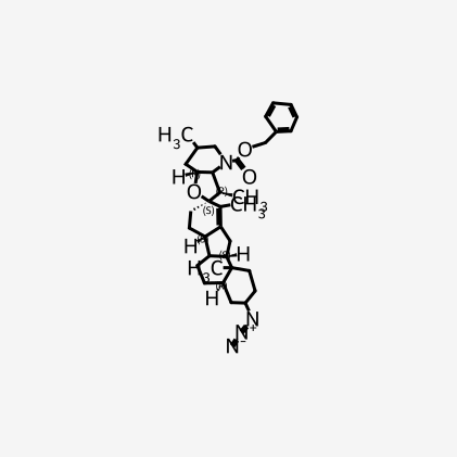 CC1=C2C[C@H]3C(CC[C@@H]4CC(N=[N+]=[N-])CCC43C)[C@@H]2CC[C@@]12O[C@@H]1CC(C)CN(C(=O)OCc3ccccc3)C1[C@H]2C